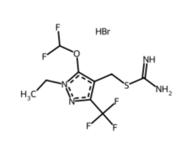 Br.CCn1nc(C(F)(F)F)c(CSC(=N)N)c1OC(F)F